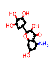 Nc1cc(O)cc2oc(-c3cc(O)c(O)c(O)c3)c(O)c(=O)c12